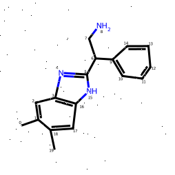 Cc1cc2nc(C(CN)c3ccccc3)[nH]c2cc1C